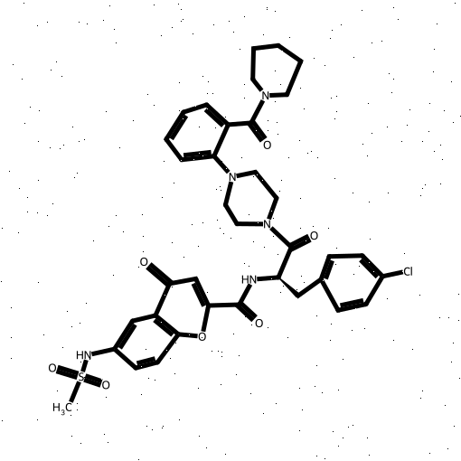 CS(=O)(=O)Nc1ccc2oc(C(=O)N[C@H](Cc3ccc(Cl)cc3)C(=O)N3CCN(c4ccccc4C(=O)N4CCCCC4)CC3)cc(=O)c2c1